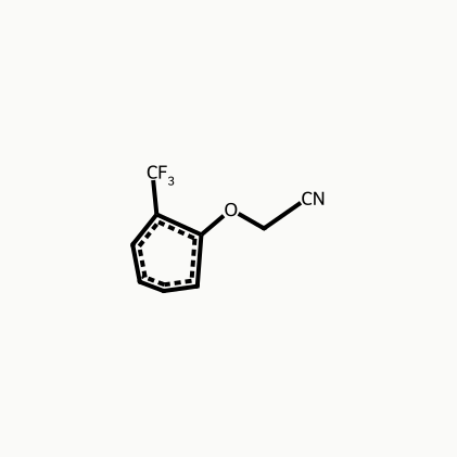 N#CCOc1ccccc1C(F)(F)F